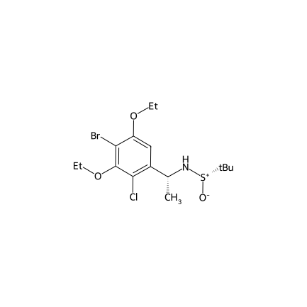 CCOc1cc([C@@H](C)N[S@@+]([O-])C(C)(C)C)c(Cl)c(OCC)c1Br